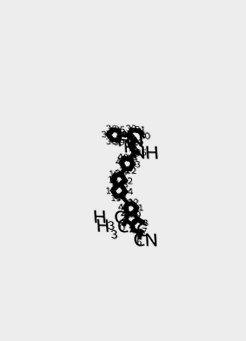 CC1(C)c2cc(C#N)ccc2-c2ccc(-c3ccc4ccc(-c5ccc(C(=N)/N=c6\[nH]cccc6-c6ccccc6)cc5)cc4c3)cc21